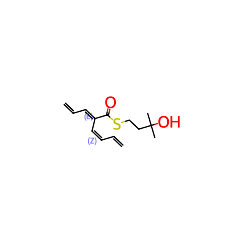 C=C/C=C\C(=C/C=C)C(=O)SCCC(C)(C)O